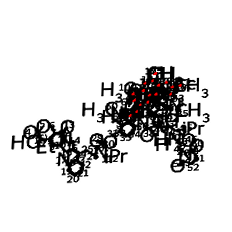 CC[C@@]1(O)C(=O)OCc2c1cc1n(c2=O)Cc2c-1nc1ccccc1c2CCN(C(=O)OCc1ccc(NC(=O)CNC(=O)C(NC(=O)CN2C(=O)C=CC2=O)C(C)C)cc1CN(C)C(=O)CN(C)C(=O)CN(C)C(=O)CN(C)C(=O)CN(C)C(=O)CN(C)C(=O)CN(C)C(=O)CN(C)C(=O)CN(C)C(=O)CN(C)C(=O)CN(C)C(C)=O)C(C)C